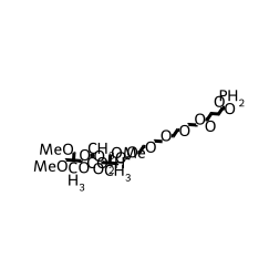 COCC(C)(COC)C(=O)OC(C)(OC(=O)C(C)(COC)COCOCCOCCOCCOCCOC(=O)CCC(=O)OP)C(=O)O